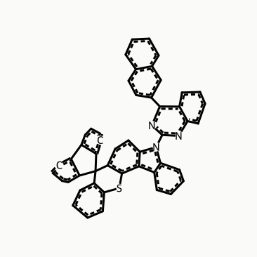 c1ccc2c(c1)Sc1c(ccc3c1c1ccccc1n3-c1nc(-c3ccc4ccccc4c3)c3ccccc3n1)C21c2ccccc2-c2ccccc21